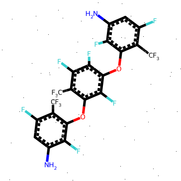 Nc1cc(F)c(C(F)(F)F)c(Oc2c(F)c(F)c(C(F)(F)F)c(Oc3c(F)c(N)cc(F)c3C(F)(F)F)c2F)c1F